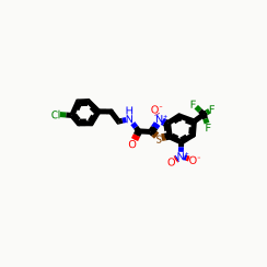 O=C(NCCc1ccc(Cl)cc1)c1sc2c([N+](=O)[O-])cc(C(F)(F)F)cc2[n+]1[O-]